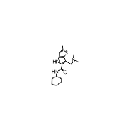 Cc1cc2[nH]c(C(=O)NC3CCCCC3)c(CN(C)C)c2s1